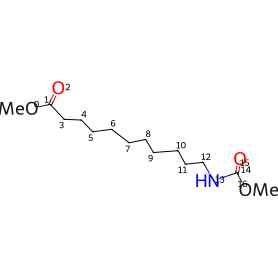 COC(=O)CCCCCCCCCCNC(=O)OC